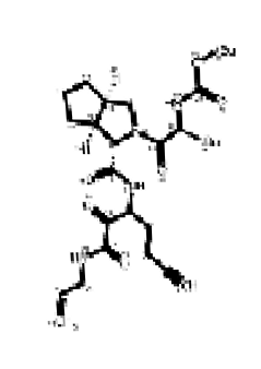 C#CCCC(NC(=O)[C@@H]1[C@H]2CCC[C@H]2CN1C(=O)[C@@H](NC(=O)OC(C)(C)C)C(C)(C)C)C(=O)C(=O)NCC=C